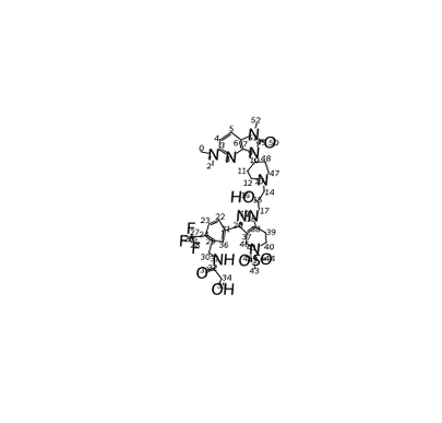 CN(C)c1ccc2c(n1)n(C1CCN(CC(O)Cn3nc(-c4ccc(C(F)(F)F)c(CNC(=O)CO)c4)c4c3CCN(S(C)(=O)=O)C4)CC1)c(=O)n2C